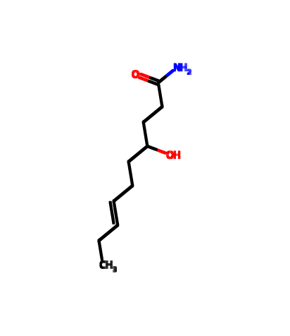 CCC=CCCC(O)CCC(N)=O